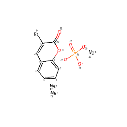 CCc1cc2ccccc2oc1=O.O=P([O-])([O-])[O-].[Na+].[Na+].[Na+]